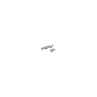 [Li+].[O-2].[O-2].[Y+3]